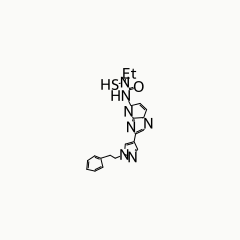 CCN(S)C(=O)Nc1ccc2ncc(-c3cnn(CCc4ccccc4)c3)nc2n1